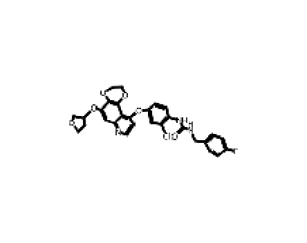 O=C(NCc1ccc(F)cc1)Nc1ccc(Oc2ccnc3cc(OC4CCOC4)c4c(c23)OCCO4)cc1Cl